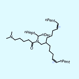 CCCCC/C=C\CCCC(CCC/C=C\CCCCC)CN(C(=O)CCCCN(C)C)C(CCCCCCC)CCCCCCCCCC